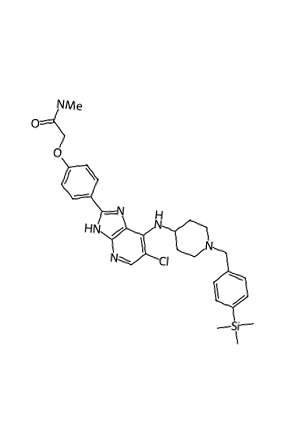 CNC(=O)COc1ccc(-c2nc3c(NC4CCN(Cc5ccc([Si](C)(C)C)cc5)CC4)c(Cl)cnc3[nH]2)cc1